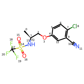 C[C@@H](COc1ccc(Cl)c(C#N)c1)NS(=O)(=O)C(F)(F)F